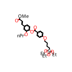 CCCOc1cc(C=CC(=O)OC)ccc1OC(=O)c1ccc(OCCCC[Si](OCC)(OCC)OCC)cc1